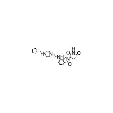 O=C1CCC(N2Cc3c(NCCN4CCN(CCC5CCCC5)CC4)cccc3C2=O)C(=O)N1